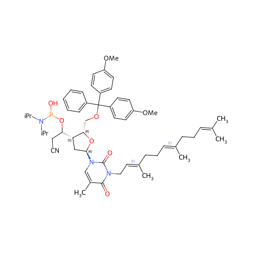 COc1ccc(C(OC[C@@H]2O[C@@H](n3cc(C)c(=O)n(C/C=C(\C)CC/C=C(\C)CCC=C(C)C)c3=O)C[C@@H]2C(CC#N)OP(O)N(C(C)C)C(C)C)(c2ccccc2)c2ccc(OC)cc2)cc1